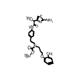 CC(C)(C)OC(=O)N(CCCOc1ccccc1O)CCc1ccc(NC(=O)C(O)c2csc(N)n2)cc1